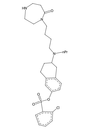 CCCN(CCCCN1CCNCCC1=O)C1CCc2cc(OS(=O)(=O)c3ccccc3Cl)ccc2C1